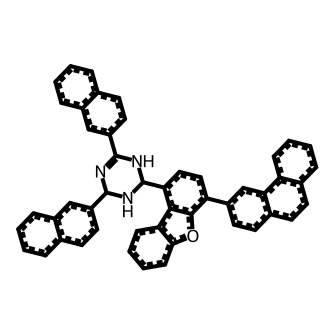 c1ccc2cc(C3=NC(c4ccc5ccccc5c4)NC(c4ccc(-c5ccc6ccc7ccccc7c6c5)c5oc6ccccc6c45)N3)ccc2c1